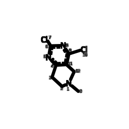 CN1CCc2nc(Cl)nc(Cl)c2C1